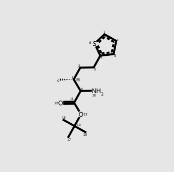 C[C@H](CCc1cccs1)C(N)C(=O)OC(C)(C)C